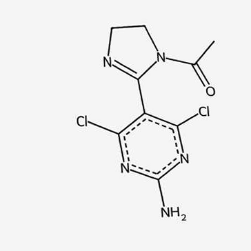 CC(=O)N1CCN=C1c1c(Cl)nc(N)nc1Cl